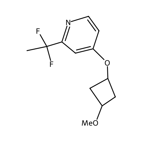 COC1CC(Oc2ccnc(C(C)(F)F)c2)C1